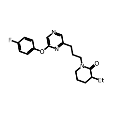 CCC1CCCN(CCCc2cncc(Oc3ccc(F)cc3)n2)C1=O